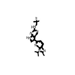 Cc1nc2ccc(-c3c[nH]c4nc(NCC(C)(C)F)ncc34)nc2n1C(C)C